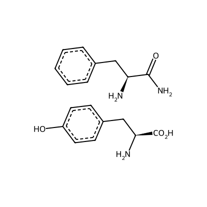 NC(=O)[C@@H](N)Cc1ccccc1.N[C@@H](Cc1ccc(O)cc1)C(=O)O